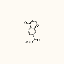 COC(=O)c1ccc2c(=O)ccoc2c1